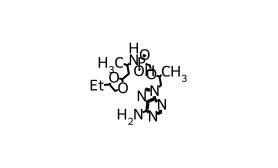 CCC1COC(CC(C)NP(=O)(O)COC(C)Cn2cnc3c(N)ncnc32)O1